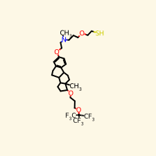 CN(CCCOCCS)CCOc1ccc2c(c1)CCC1C2CCC2(C)C(OCCCOC(C(F)(F)F)(C(F)(F)F)C(F)(F)F)CCC12